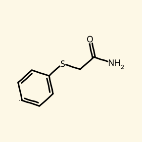 NC(=O)CSc1cc[c]cc1